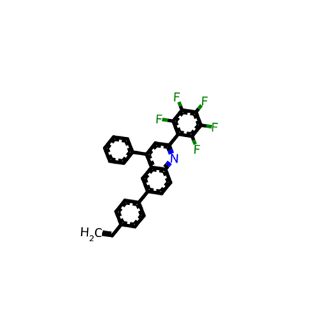 C=Cc1ccc(-c2ccc3nc(-c4c(F)c(F)c(F)c(F)c4F)cc(-c4ccccc4)c3c2)cc1